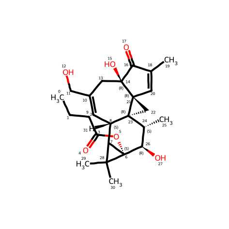 CCCC(=O)O[C@]12C([C@@H]3C=C(CO)C[C@]4(O)C(=O)C(C)=C[C@@]45C[C@]35[C@H](C)[C@H]1O)C2(C)C